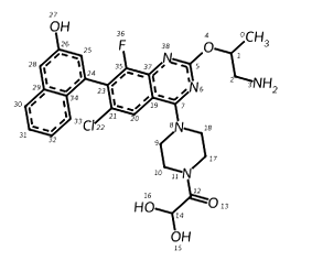 CC(CN)Oc1nc(N2CCN(C(=O)C(O)O)CC2)c2cc(Cl)c(-c3cc(O)cc4ccccc34)c(F)c2n1